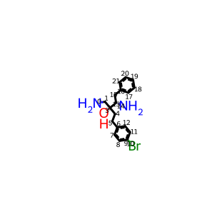 NC[C@](O)(CCc1ccc(Br)cc1)[C@@H](N)Cc1ccccc1